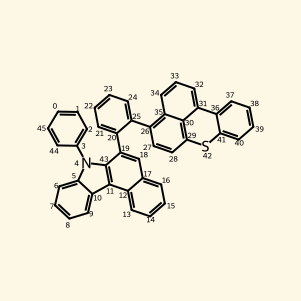 c1ccc(-n2c3ccccc3c3c4ccccc4cc(-c4ccccc4-c4ccc5c6c(cccc46)-c4ccccc4S5)c32)cc1